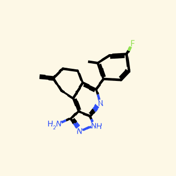 C=C1CCc2c(-c3ccc(F)cc3C)nc3[nH]nc(N)c3c2C1